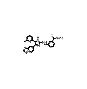 CNC(=O)c1cccc(CNc2nc(-c3ccn4ncnc4c3)c(-c3cccc(C)n3)[nH]2)c1